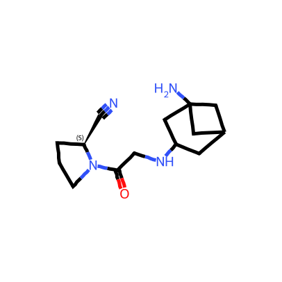 N#C[C@@H]1CCCN1C(=O)CNC1CC2CC(N)(C2)C1